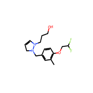 Cc1cc(CN2CC=CN2CCCO)ccc1OCC(F)F